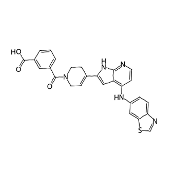 O=C(O)c1cccc(C(=O)N2CC=C(c3cc4c(Nc5ccc6ncsc6c5)ccnc4[nH]3)CC2)c1